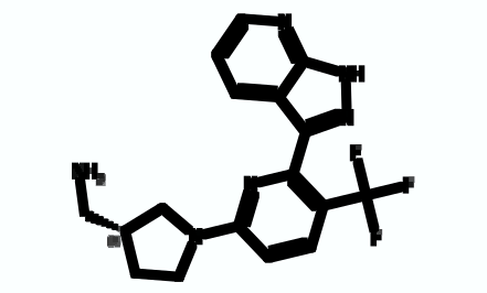 NC[C@H]1CCN(c2ccc(C(F)(F)F)c(-c3n[nH]c4ncccc34)n2)C1